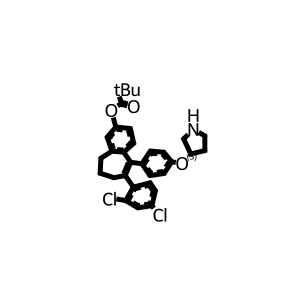 CC(C)(C)C(=O)Oc1ccc2c(c1)CCCC(c1ccc(Cl)cc1Cl)=C2c1ccc(O[C@H]2CCNC2)cc1